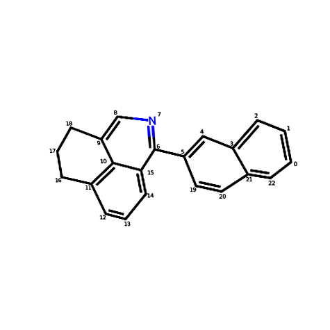 c1ccc2cc(-c3ncc4c5c(cccc35)CCC4)ccc2c1